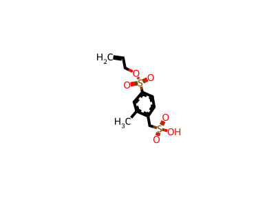 C=CCOS(=O)(=O)c1ccc(CS(=O)(=O)O)c(C)c1